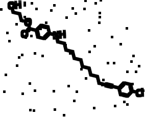 O=C(OCCCO)c1ccc(NCCCCCCCCCCCC#Cc2ccc(Cl)cc2)cc1